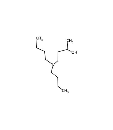 CCCCN(CCCC)CCC(C)O